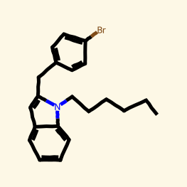 CCCCCCn1c(Cc2ccc(Br)cc2)cc2ccccc21